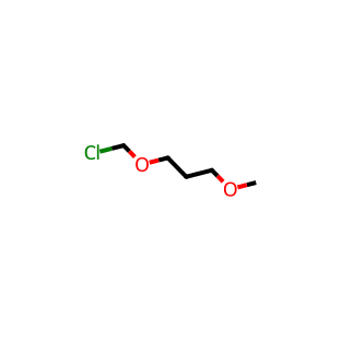 COCCCOCCl